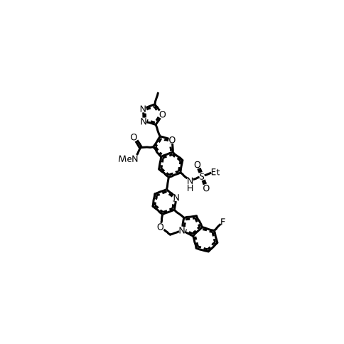 CCS(=O)(=O)Nc1cc2oc(-c3nnc(C)o3)c(C(=O)NC)c2cc1-c1ccc2c(n1)-c1cc3c(F)cccc3n1CO2